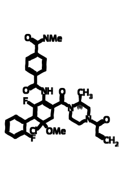 C=CC(=O)N1CCN(C(=O)C2=C(NC(=O)c3ccc(C(=O)NC)cc3)C(F)=C(c3ccccc3F)C(Cl)(OC)C2)[C@@H](C)C1